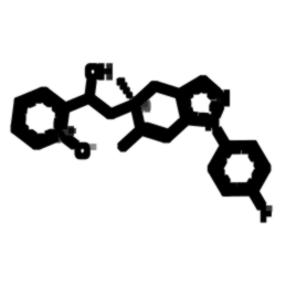 CC1=Cc2c(cnn2-c2ccc(F)cc2)C[C@]1(C)CC(O)c1cccc[n+]1[O-]